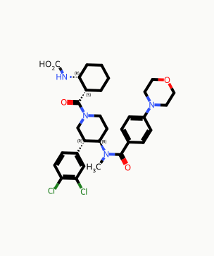 CN(C(=O)c1ccc(N2CCOCC2)cc1)[C@@H]1CCN(C(=O)[C@H]2CCCC[C@H]2NC(=O)O)C[C@H]1c1ccc(Cl)c(Cl)c1